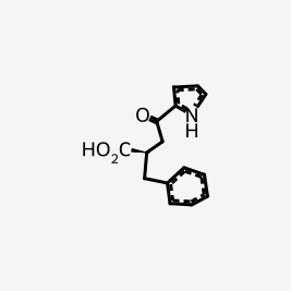 O=C(C[C@@H](Cc1ccccc1)C(=O)O)c1ccc[nH]1